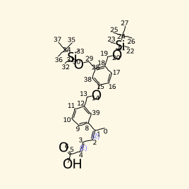 C/C(=C/C=C/C(=O)O)c1cccc(COc2ccc(CO[Si](C)(C)C(C)(C)C)c(CO[Si](C)(C)C(C)(C)C)c2)c1